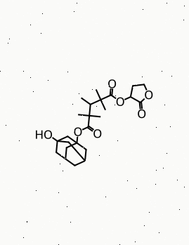 CC(C(C)(C)C(=O)OC1CCOC1=O)C(C)(C)C(=O)OC12CC3CC(CC(O)(C3)C1)C2